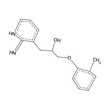 Cc1ccccc1OCC(O)Cc1ccc[nH]c1=N